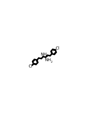 N[C@H](CCc1ccc(Cl)cc1)[C@H](N)CCc1ccc(Cl)cc1